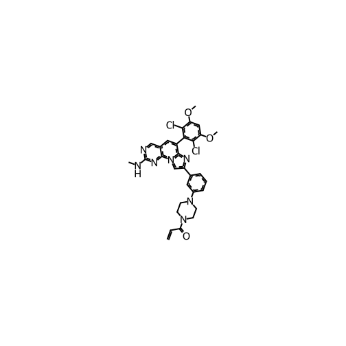 C=CC(=O)N1CCN(c2cccc(-c3cn4c(n3)c(-c3c(Cl)c(OC)cc(OC)c3Cl)cc3cnc(NC)nc34)c2)CC1